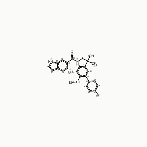 CCOc1c(CC)cc([C@@](O)(CNC(=O)c2ccc3cc[nH]c3c2)C(F)(F)F)nc1-c1ccc(F)cc1